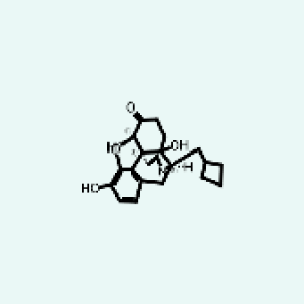 O=C1CCC2(O)[C@H]3Cc4ccc(O)c5c4[C@@]2(CCN3CC2CCC2)[C@H]1O5